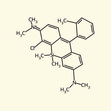 Cc1ccccc1C1=C2C=CC(=[N+](C)C)C(Cl)=C2[Si](C)(C)c2cc(N(C)C)ccc21